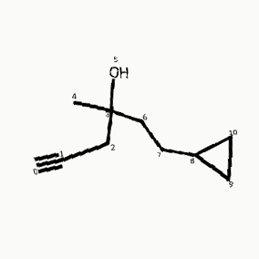 C#CCC(C)(O)CCC1CC1